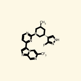 C[C@H]1C[C@H](c2c[nH]nc2F)CN(c2nccc(-c3cnc4cnc(C(F)(F)F)cn34)n2)C1